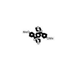 COc1ccc(C(=O)C2(N3CCOCC3)CCC(C(=O)c3ccc(OC)cc3)(N3CCOCC3)CC2)cc1